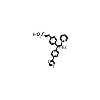 CC/C(=C(/c1ccc(/C=C/C(=O)O)cc1)c1ccc(-c2cnco2)cc1)c1ccccc1